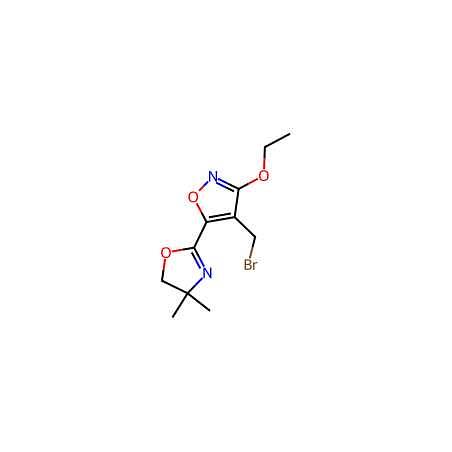 CCOc1noc(C2=NC(C)(C)CO2)c1CBr